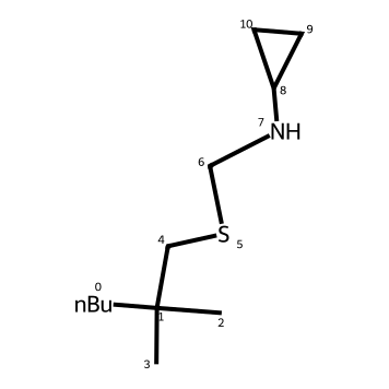 CCCCC(C)(C)CSCNC1CC1